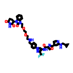 O=C1CCC(n2c(=O)n(CCOCCOCCNCc3ccc(-n4cc(NC(=O)c5coc(-c6ccnc(NCC7CC7)c6)n5)c(C(F)F)n4)cc3)c3ccccc32)C(=O)N1